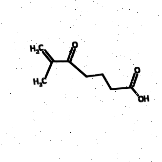 C=C(C)C(=O)CCCC(=O)O